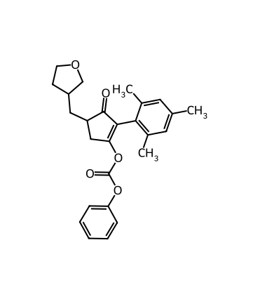 Cc1cc(C)c(C2=C(OC(=O)Oc3ccccc3)CC(CC3CCOC3)C2=O)c(C)c1